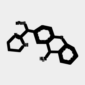 CCCCCC(C1=NCCCN1)c1ccc2c(c1)C(N)c1ccccc1O2